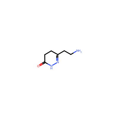 NCCC1=NNC(=O)CC1